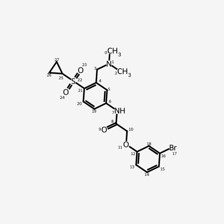 CN(C)Cc1cc(NC(=O)COc2cccc(Br)c2)ccc1S(=O)(=O)C1CC1